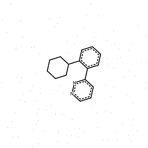 c1cnnc(-c2ccccc2C2CCCCC2)c1